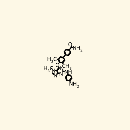 Cc1cc(-c2ccc(C(N)=O)cc2)cc(C)c1Oc1nc(Nc2ccc(N)cc2)nc2ncn(C)c12